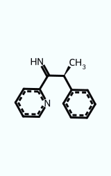 C[C@H](C(=N)c1ccccn1)c1ccccc1